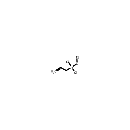 C=CC[Si](Cl)(Cl)OCC